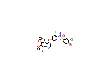 COc1cc2nccc(Oc3ccc(NS(=O)(=O)c4ccc(Br)c(Cl)c4)c(F)c3)c2cc1OC